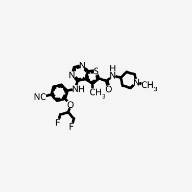 Cc1c(C(=O)NC2CCN(C)CC2)sc2ncnc(Nc3ccc(C#N)cc3OC(CF)CF)c12